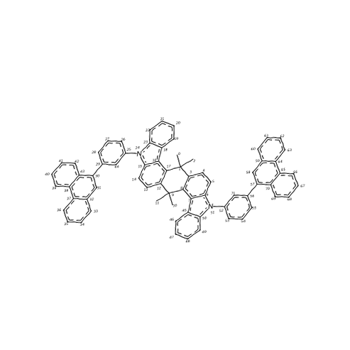 CC1(C)c2ccc3c(c2C(C)(C)c2ccc4c(c21)c1ccccc1n4-c1cccc(-c2cc4ccccc4c4ccccc24)c1)c1ccccc1n3-c1cccc(-c2cc3ccccc3c3ccccc23)c1